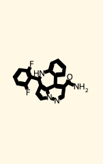 NC(=O)c1cnn2ccc3c2c1-c1ccccc1NC3c1c(F)cccc1F